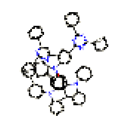 CC(C)(C)c1ccc2c(c1)c1ccccc1n2-c1ccc(-c2nc(-c3ccccc3)nc(-c3ccccc3)n2)cc1-c1cc(-c2ccccc2)nc(-c2cccc(-c3cccc(N4c5ccccc5B5c6ccccc6N(c6ccccc6)c6cccc4c65)c3)c2)n1